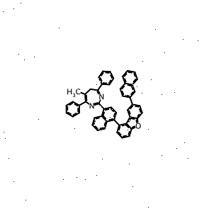 CC1=C(c2ccccc2)N=C(c2ccc(-c3cccc4oc5ccc(-c6ccc7ccccc7c6)cc5c34)c3ccccc23)N=C(c2ccccc2)C1